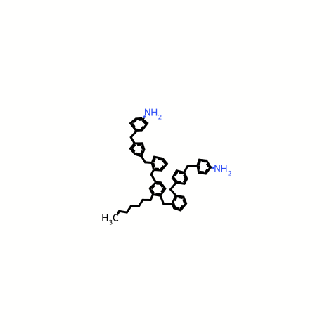 CCCCCCCc1cc(Cc2ccccc2Cc2ccc(Cc3ccc(N)cc3)cc2)ccc1Cc1ccccc1Cc1ccc(Cc2ccc(N)cc2)cc1